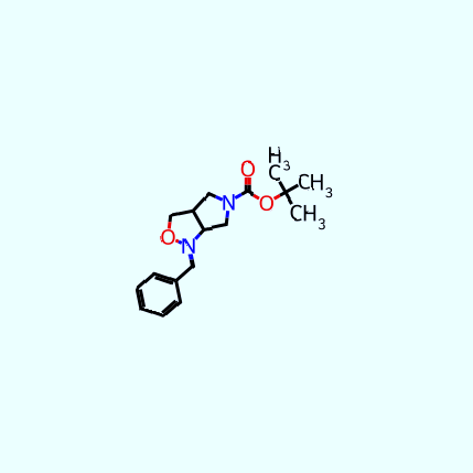 CC(C)(C)OC(=O)N1CC2CON(Cc3ccccc3)C2C1